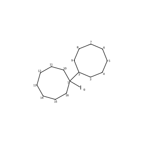 IC1(C2CCCCCCC2)CCCCCCC1